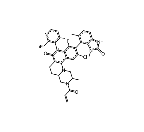 C=CC(=O)N1CC2CCc3c(c4cc(Cl)c(-c5c(C)ccc6[nH]c(=O)n(C)c56)c(F)c4n(-c4c(C)ccnc4C(C)C)c3=O)N2CC1C